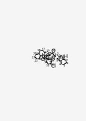 NN(Cc1nc2ccccc2[nH]1)C(=O)OCC1CCc2ccccc2N1S(=O)(=O)c1ccc(Cl)cc1